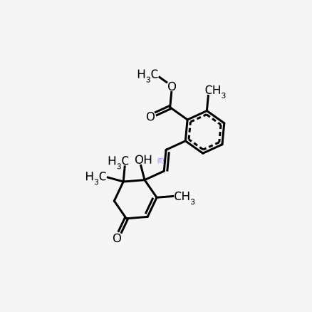 COC(=O)c1c(C)cccc1/C=C/C1(O)C(C)=CC(=O)CC1(C)C